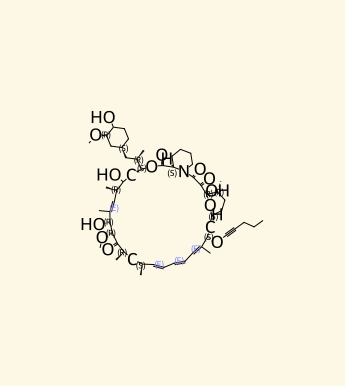 CCCC#CO[C@H]1C[C@@H]2CC[C@@H](C)[C@@](O)(O2)C(=O)C(=O)N2CCCC[C@H]2C(=O)O[C@H]([C@H](C)C[C@@H]2CCC(O)[C@H](OC)C2)CC(O)[C@H](C)/C=C(\C)[C@@H](O)[C@@H](OC)C(=O)[C@H](C)C[C@H](C)/C=C/C=C/C=C/1C